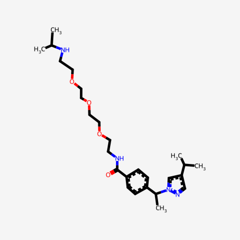 CC(C)NCCOCCOCCOCCNC(=O)c1ccc(C(C)n2cc(C(C)C)cn2)cc1